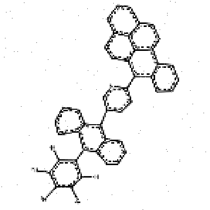 [2H]c1c([2H])c([2H])c(-c2c3ccccc3c(-c3ccc(-c4c5ccccc5c5ccc6cccc7ccc4c5c76)nc3)c3ccccc23)c([2H])c1[2H]